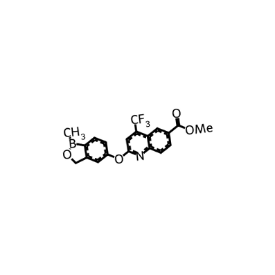 COC(=O)c1ccc2nc(Oc3ccc4c(c3)COB4C)cc(C(F)(F)F)c2c1